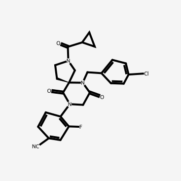 N#Cc1ccc(N2CC(=O)N(Cc3ccc(Cl)cc3)[C@]3(CCN(C(=O)C4CC4)C3)C2=O)c(F)c1